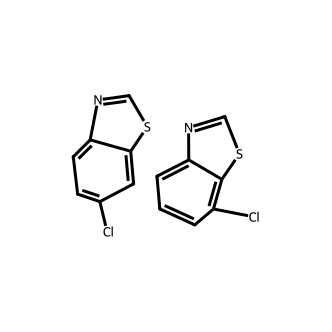 Clc1ccc2ncsc2c1.Clc1cccc2ncsc12